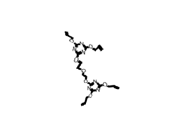 C=CCOc1nc(OCC=C)nc(OCCOCCOc2nc(OCC=C)nc(OCC=C)n2)n1